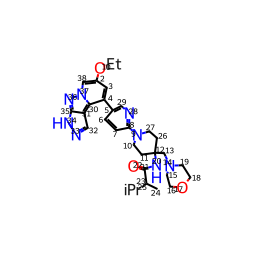 CCOc1cc(-c2ccc(N3CCC(CN4CCOCC4)(NC(=O)C(C)C(C)C)CC3)nc2)c2c3cn[nH]c3nn2c1